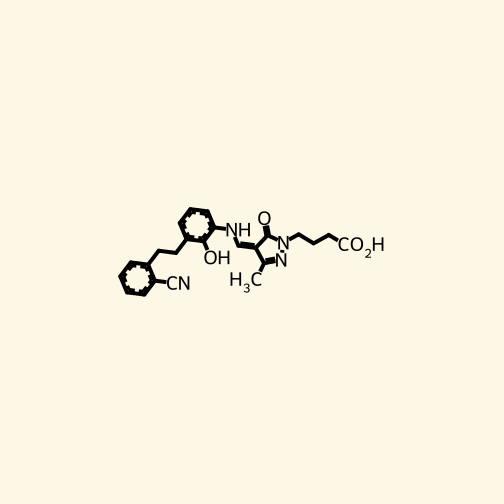 CC1=NN(CCCC(=O)O)C(=O)/C1=C\Nc1cccc(CCc2ccccc2C#N)c1O